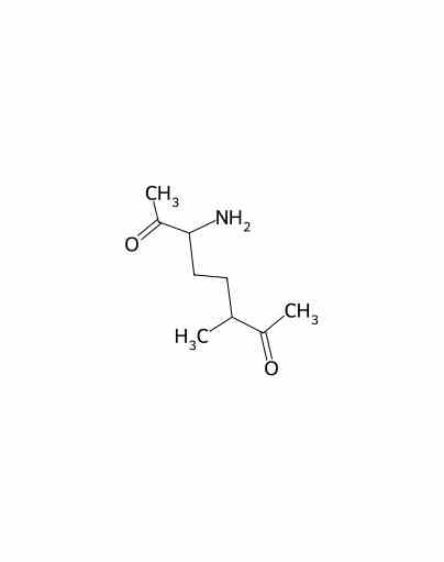 CC(=O)C(C)CCC(N)C(C)=O